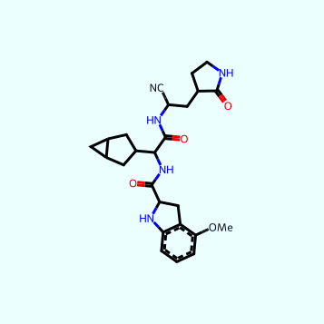 COc1cccc2c1CC(C(=O)NC(C(=O)NC(C#N)CC1CCNC1=O)C1CC3CC3C1)N2